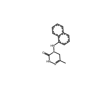 CC1=NNC(=O)N(Nc2cccc3ccccc23)C1